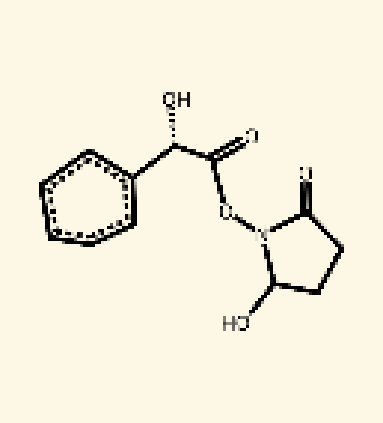 O=C(ON1C(=O)CCC1O)[C@@H](O)c1ccccc1